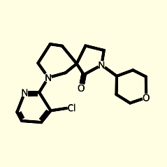 O=C1N(C2CCOCC2)CCC12CCCN(c1ncccc1Cl)C2